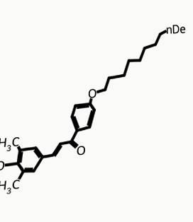 CCCCCCCCCCCCCCCCCCOc1ccc(C(=O)C=Cc2cc(C)c(O)c(C)c2)cc1